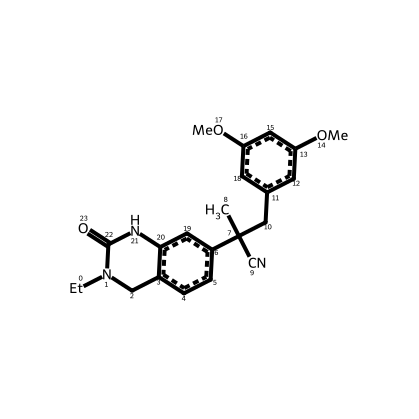 CCN1Cc2ccc(C(C)(C#N)Cc3cc(OC)cc(OC)c3)cc2NC1=O